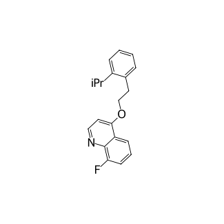 CC(C)c1ccccc1CCOc1ccnc2c(F)cccc12